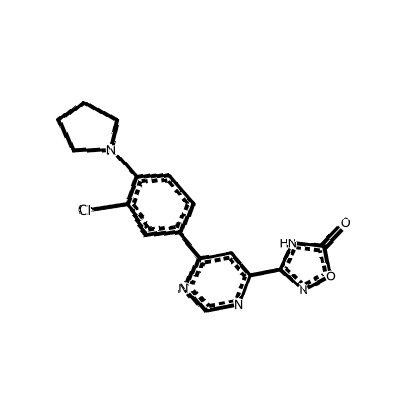 O=c1[nH]c(-c2cc(-c3ccc(N4CCCC4)c(Cl)c3)ncn2)no1